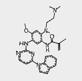 C=C(C)C(=O)Nc1cc(Nc2nccc(-n3ccc4ccccc43)n2)c(OC)cc1N(C)CCN(C)C